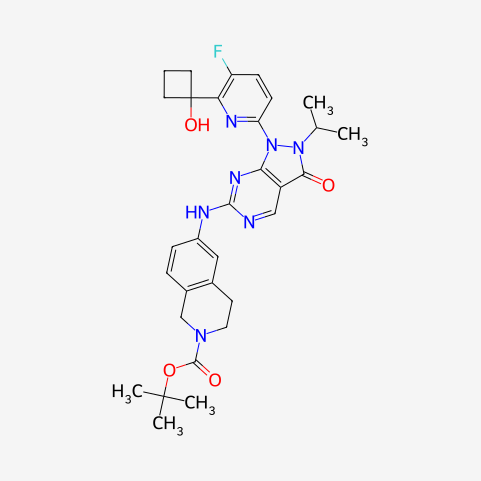 CC(C)n1c(=O)c2cnc(Nc3ccc4c(c3)CCN(C(=O)OC(C)(C)C)C4)nc2n1-c1ccc(F)c(C2(O)CCC2)n1